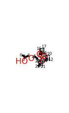 [CH2]C(O)COCC[Si](O[Si](C)(C)C)(O[Si](C)(C)C)O[Si](C)(C)C